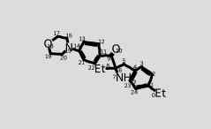 CCc1ccc(CC(N)(CC)C(=O)c2ccc(N3CCOCC3)cc2)cc1